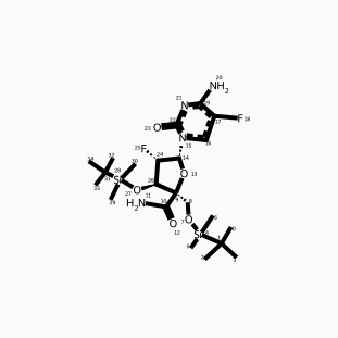 CC(C)(C)[Si](C)(C)OC[C@@]1(C(N)=O)O[C@@H](n2cc(F)c(N)nc2=O)[C@@H](F)[C@@H]1O[Si](C)(C)C(C)(C)C